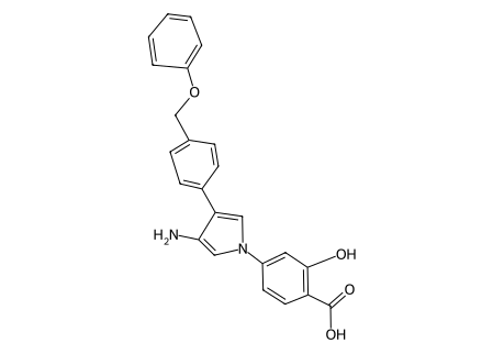 Nc1cn(-c2ccc(C(=O)O)c(O)c2)cc1-c1ccc(COc2ccccc2)cc1